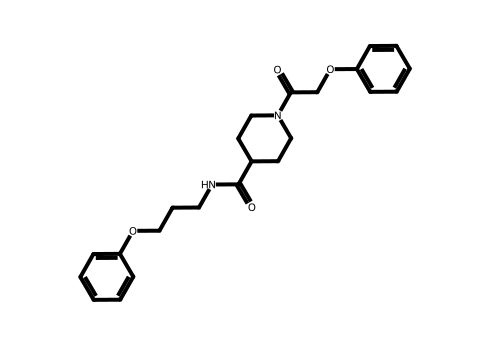 O=C(NCCCOc1ccccc1)C1CCN(C(=O)COc2ccccc2)CC1